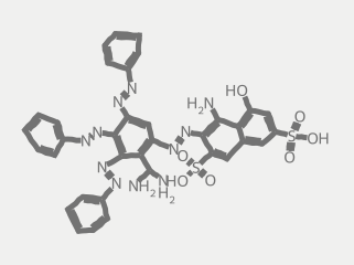 Nc1c(N=Nc2cc(N=Nc3ccccc3)c(N=Nc3ccccc3)c(N=Nc3ccccc3)c2C(N)N)c(S(=O)(=O)O)cc2cc(S(=O)(=O)O)cc(O)c12